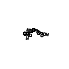 O=C(O)CC1CCCN(Cc2ccc3[nH]c(-c4cc5ccccc5[nH]c4=O)cc3c2)C1